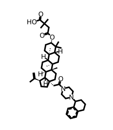 C=C(C)[C@@H]1CC[C@]2(CC(=O)N3CCN(C4CCCc5ccccc54)CC3)CC[C@]3(C)[C@H](CC[C@@H]4[C@@]5(C)CC[C@H](OC(=O)CC(C)(C)C(=O)O)C(C)(C)[C@@H]5CC[C@]43C)[C@@H]12